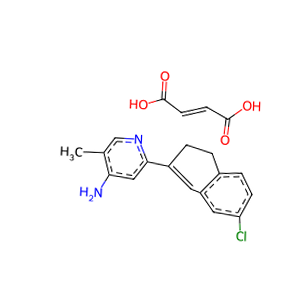 Cc1cnc(C2=Cc3cc(Cl)ccc3CC2)cc1N.O=C(O)C=CC(=O)O